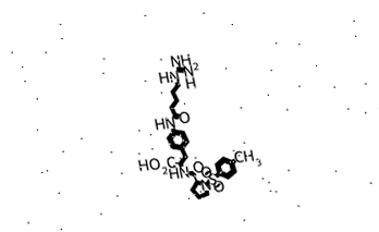 Cc1ccc(S(=O)(=O)N2CCC[C@H]2C(=O)N[C@@H](Cc2ccc(NC(=O)CCCCNC(=N)N)cc2)C(=O)O)cc1